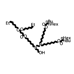 CC/C=C\CCCCOC(CCC(=O)OCCCCCCCN(CCCO)CCN(CCCCCCCCCOC(=O)C(CCCC)CCCCCC)CCCCCCCCCOC(=O)C(CCCC)CCCCCC)OCCCC/C=C\CC